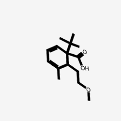 COCCC1C(C)=CC=CC1(C(=O)O)C(C)(C)C